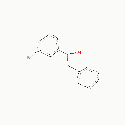 O[C@@H](Cc1ccccc1)c1cccc(Br)c1